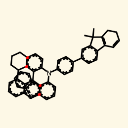 CC1(C)C2=C(C=CCC2)c2ccc(-c3ccc(N(c4ccccc4-c4cccc5cccc(C6CCCCC6)c45)c4cccc5oc6ccccc6c45)cc3)cc21